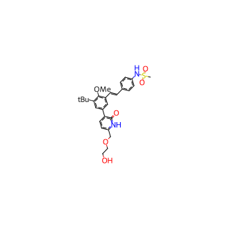 COc1c(/C=C/c2ccc(NS(C)(=O)=O)cc2)cc(-c2ccc(COCCO)[nH]c2=O)cc1C(C)(C)C